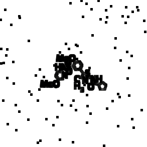 COc1ccc(NS(=O)(=O)c2cc(-c3sc(NC(=O)C4CCCC4)nc3C)ccc2OC)nc1